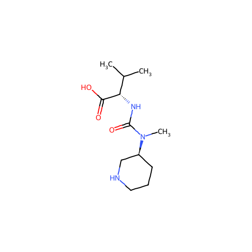 CC(C)[C@H](NC(=O)N(C)[C@H]1CCCNC1)C(=O)O